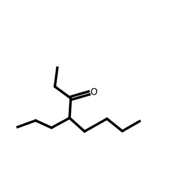 CCCCC(CCC)C(=O)CC